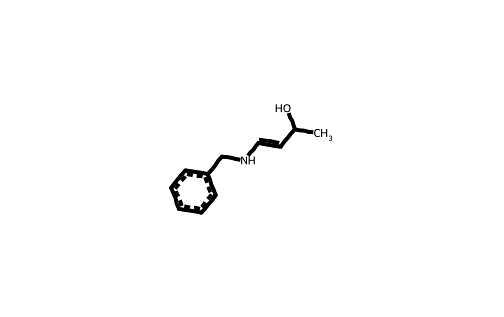 CC(O)C=CNCc1ccccc1